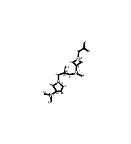 CC(C)CN1CC(N(C)C[C@H](C)CN2CCC(N(C)C)C2)C1